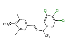 Cc1cc(C=CC(c2cc(Cl)c(Cl)c(Cl)c2)C(F)(F)F)cc(C)c1C(=O)O